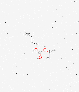 CC(C)CCCOC(=O)OC(C)I